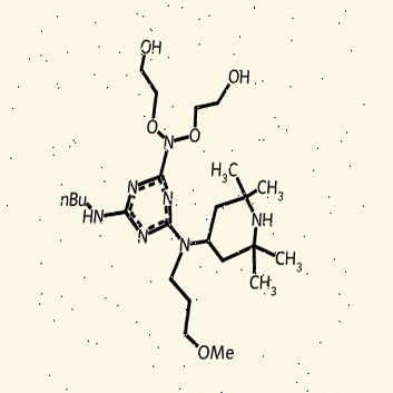 CCCCNc1nc(N(OCCO)OCCO)nc(N(CCCOC)C2CC(C)(C)NC(C)(C)C2)n1